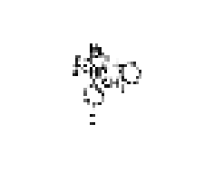 CC[PH](CC)(CC)[Ni]([Br])([c]1ccc(Cl)cc1)[PH](C)(C)c1ccccc1